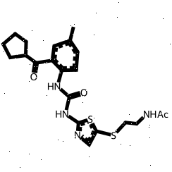 CC(=O)NCCSc1cnc(NC(=O)Nc2ccc(C)cc2C(=O)C2CCCC2)s1